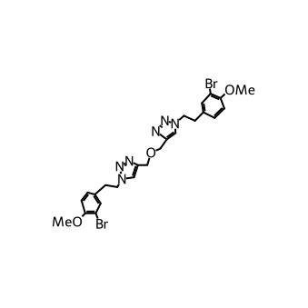 COc1ccc(CCn2cc(COCc3cn(CCc4ccc(OC)c(Br)c4)nn3)nn2)cc1Br